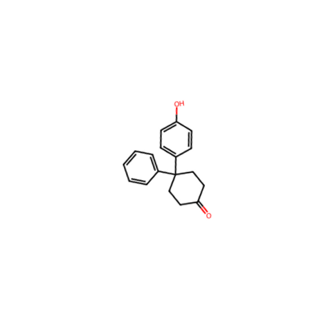 O=C1CCC(c2ccccc2)(c2ccc(O)cc2)CC1